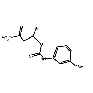 C=C(CC(CC)OC(=O)Nc1cccc(SC)c1)C(=O)O